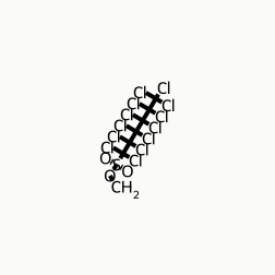 [CH2]OS(=O)(=O)C(Cl)(Cl)C(Cl)(Cl)C(Cl)(Cl)C(Cl)(Cl)C(Cl)(Cl)C(Cl)(Cl)Cl